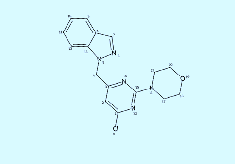 Clc1cc(Cn2ncc3ccccc32)nc(N2CCOCC2)n1